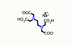 O=C([O-])CN(CCN(CC(=O)[O-])CC(=O)O)CC(=O)O.[K+].[Na+]